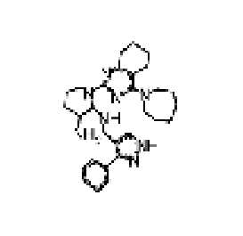 NC1CCCN(c2nc3c(c(N4CCCCCC4)n2)CCCC3)C1NCc1c[nH]nc1-c1ccccc1